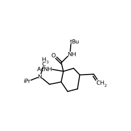 C=CC1CCC(CN(C)C(C)C)C(NC(C)=O)(C(=O)NC(C)(C)C)C1